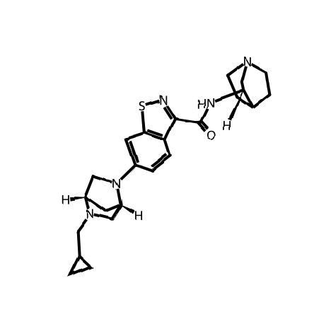 O=C(N[C@@H]1CN2CCC1CC2)c1nsc2cc(N3C[C@@H]4C[C@H]3CN4CC3CC3)ccc12